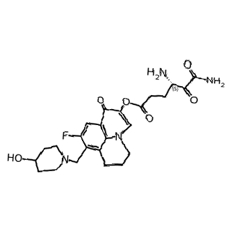 NC(=O)C(=O)[C@@H](N)CCC(=O)Oc1cn2c3c(c(CN4CCC(O)CC4)c(F)cc3c1=O)CCC2